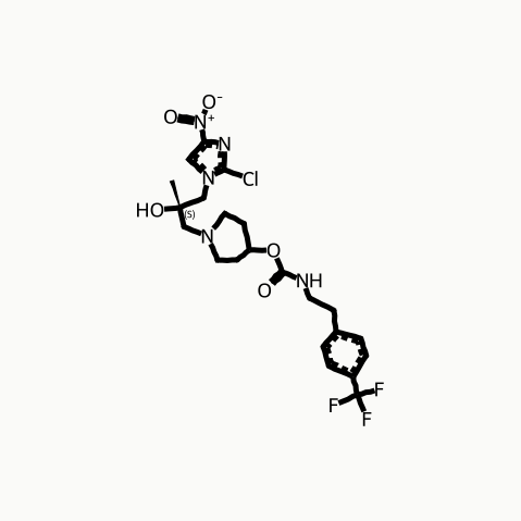 C[C@](O)(CN1CCC(OC(=O)NCCc2ccc(C(F)(F)F)cc2)CC1)Cn1cc([N+](=O)[O-])nc1Cl